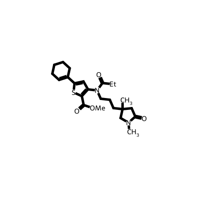 CCC(=O)N(CCCC1(C)CC(=O)N(C)C1)c1cc(C2=CCCCC2)sc1C(=O)OC